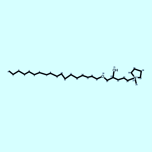 CCCCCCCCCCCCCCCCCCOCC(O)C[CH]C[N+]1(C)CCCC1